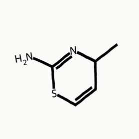 CC1C=CSC(N)=N1